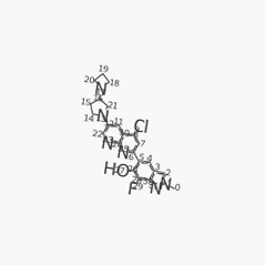 Cn1cc2cc(-c3cc(Cl)c4cc(N5CCC(N6CCC6)C5)cnc4n3)c(O)c(F)c2n1